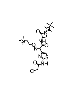 CC(C)(C)[Si](C)(C)N1CC(NC(=O)C(=NOCC[Si](C)(C)C)c2csc(NC(=O)CCl)n2)C1=O